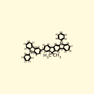 CC1(C)c2cc(-c3ccc4c(c3)c3ccccc3n4-c3ccccc3)ccc2-c2cc3c(cc21)c1ccccc1n3-c1ccccc1